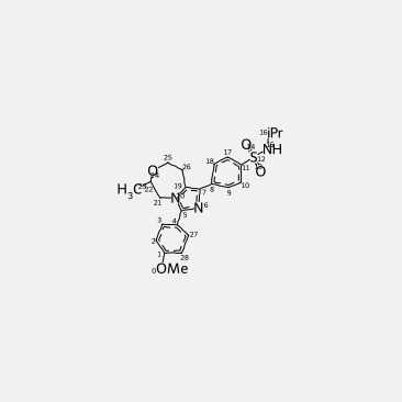 COc1ccc(-c2nc(-c3ccc(S(=O)(=O)NC(C)C)cc3)c3n2CC(C)OCC3)cc1